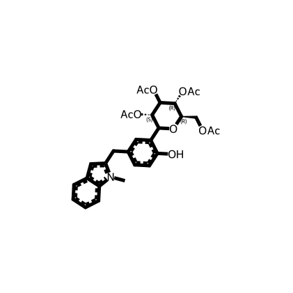 CC(=O)OC[C@H]1OC(c2cc(Cc3cc4ccccc4n3C)ccc2O)[C@H](OC(C)=O)C(OC(C)=O)[C@@H]1OC(C)=O